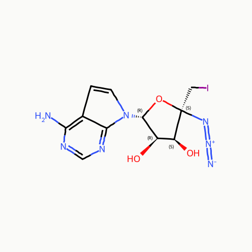 [N-]=[N+]=N[C@]1(CI)O[C@@H](n2ccc3c(N)ncnc32)[C@H](O)[C@@H]1O